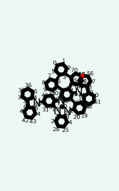 c1ccc2c(c1)-c1ccccc1-c1ccc(-c3ccccc3-n3c4ccccc4n4c5cc(-n6c7ccccc7c7ccccc76)ccc5nc34)c(-n3c4ccccc4c4ccccc43)c1-c1ccccc1-2